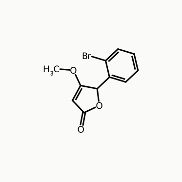 COC1=CC(=O)OC1c1ccccc1Br